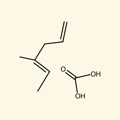 C=CCC(C)=CC.O=C(O)O